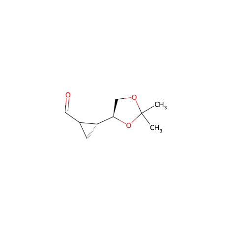 CC1(C)OC[C@H]([C@@H]2CC2C=O)O1